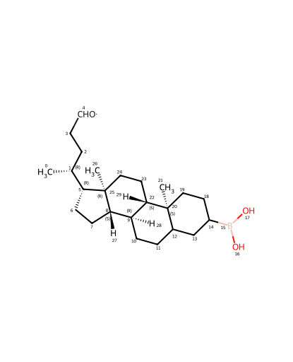 C[C@H](CC[C]=O)[C@H]1CC[C@H]2[C@@H]3CCC4CC(B(O)O)CC[C@]4(C)[C@H]3CC[C@]12C